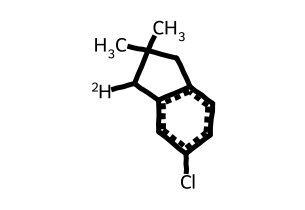 [2H]C1c2cc(Cl)ccc2CC1(C)C